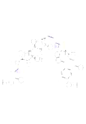 CC1=C(NC(=O)/C(C)=C/C=C\[C@@H](C)[C@@H](O)[C@@H](C)[C@@H](O)[C@@H](C)[C@H](O)[C@H](C)[C@@H](O)[C@@H](C)/C=C(\C)C(=O)O)C(=O)c2cc(C)c(O)cc2C1=O